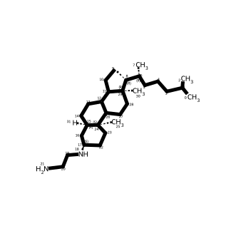 CC(C)CCC[C@@H](C)[C@H]1CCC2C3CC[C@@H]4C[C@@H](NCCN)CC[C@]4(C)C3CC[C@@]21C